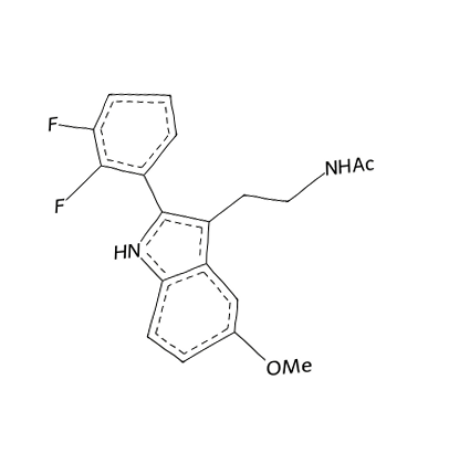 COc1ccc2[nH]c(-c3cccc(F)c3F)c(CCNC(C)=O)c2c1